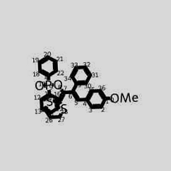 COc1ccc(/C=C(/C(OP(=O)(c2ccccc2)c2ccccc2)=C2SCCCS2)c2ccccc2)cc1